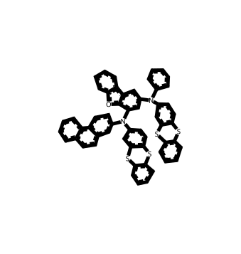 c1ccc(N(c2ccc3c(c2)Sc2ccccc2S3)c2cc(N(c3ccc4c(c3)Sc3ccccc3S4)c3ccc4c(ccc5ccccc54)c3)c3oc4ccccc4c3c2)cc1